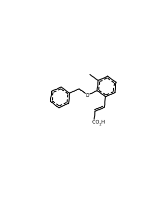 Cc1cccc(C=CC(=O)O)c1OCc1ccccc1